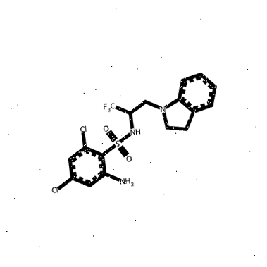 Nc1cc(Cl)cc(Cl)c1S(=O)(=O)NC(CN1CCc2ccccc21)C(F)(F)F